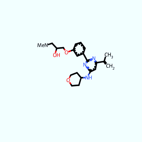 C=C(C)c1cc(NC2CCOCC2)nc(-c2cccc(OCC(O)CNC)c2)n1